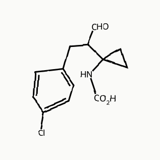 O=CC(Cc1ccc(Cl)cc1)C1(NC(=O)O)CC1